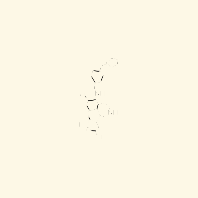 O=C(O)CC(C(=O)O)C1CNCCc2c1ccc(Cl)c2NCc1ccc(CN2CCCC2)cc1